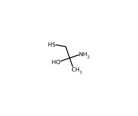 CC(N)(O)CS